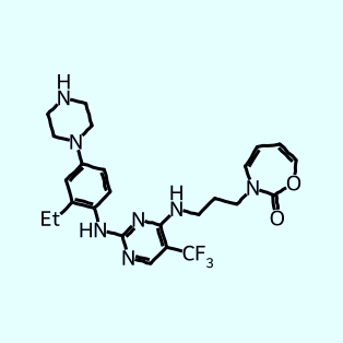 CCc1cc(N2CCNCC2)ccc1Nc1ncc(C(F)(F)F)c(NCCCN2C=CC=COC2=O)n1